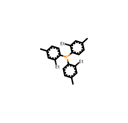 CCc1cc(C)ccc1P(c1ccc(C)cc1CC)c1ccc(C)cc1CC